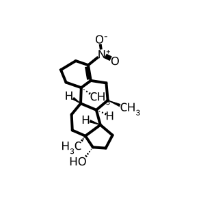 C[C@@H]1CC2=C([N+](=O)[O-])CCC[C@]2(C)[C@H]2CC[C@]3(C)[C@@H](O)CC[C@H]3[C@H]12